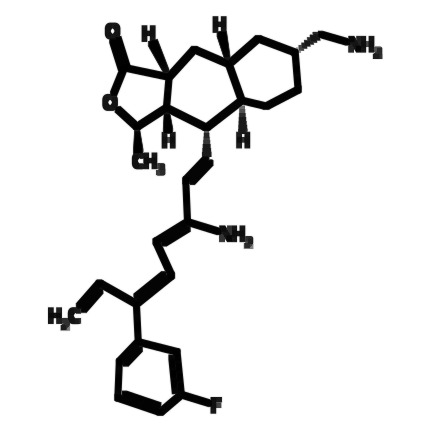 C=C\C(=C/C=C(N)/C=C/[C@H]1[C@@H]2CC[C@@H](CN)C[C@H]2C[C@H]2C(=O)O[C@H](C)[C@@H]12)c1cccc(F)c1